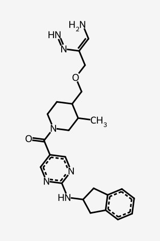 CC1CN(C(=O)c2cnc(NC3Cc4ccccc4C3)nc2)CCC1COC/C(=C/N)N=N